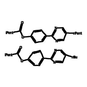 CCCCCc1cnc(-c2ccc(OC(=O)C(C)CCC)cc2)nc1.CCCCc1cnc(-c2ccc(OC(=O)C(C)CCC)cc2)nc1